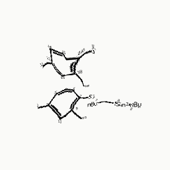 CCC[CH2][Sn+2][CH2]CCC.Cc1ccc([S-])c(C)c1.Cc1ccc([S-])c(C)c1